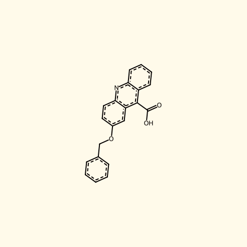 O=C(O)c1c2ccccc2nc2ccc(OCc3ccccc3)cc12